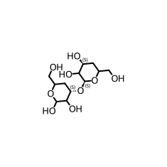 OCC1C[C@H](O[C@@H]2OC(CO)C[C@H](O)C2O)C(O)C(O)O1